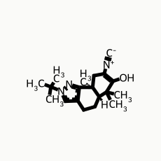 [C-]#[N+]C1=C(O)C(C)(C)[C@@H]2CCc3cn(C(C)(C)C)nc3[C@@]2(C)C1